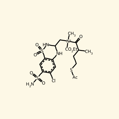 CCOC(=O)[N+](C)(CC1Nc2cc(Cl)c(S(N)(=O)=O)cc2S(=O)(=O)N1)C(=O)C(C)CCSC(C)=O